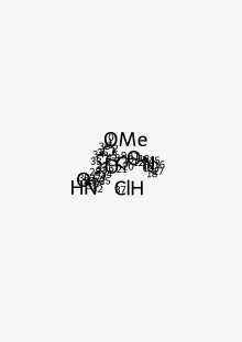 COc1ccc2c(Oc3ccc(OCCN4CCCCC4)cc3)c(-c3ccc4c(c3)C(=O)NC4)ccc2c1.Cl